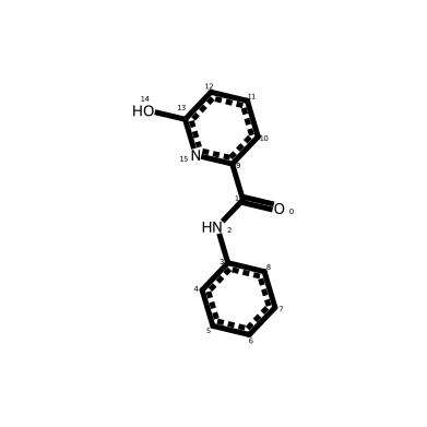 O=C(Nc1ccccc1)c1cccc(O)n1